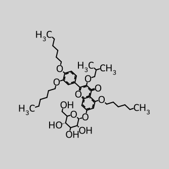 CCCCCCOc1ccc(-c2oc3cc(O[C@@H]4OC(CO)[C@@H](O)C(O)[C@@H]4O)cc(OCCCCCC)c3c(=O)c2OCC(C)C)cc1OCCCCCC